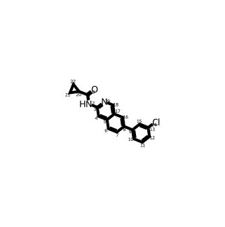 O=C(Nc1cc2ccc(-c3cccc(Cl)c3)cc2cn1)C1CC1